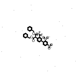 O=C(OCc1ccccc1)C(C(=O)OCc1ccccc1)c1ccc(-c2ccc([N+](=O)[O-])cc2[N+](=O)[O-])cc1C(F)(F)F